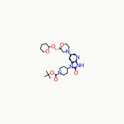 CC(C)(C)OC(=O)N1CCC(n2c(=O)[nH]c3ncc(N4CCO[C@@H](COC5CCCCO5)C4)cc32)CC1